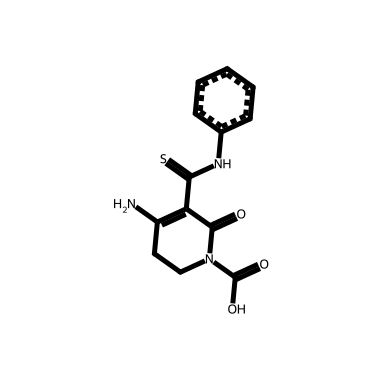 NC1=C(C(=S)Nc2ccccc2)C(=O)N(C(=O)O)CC1